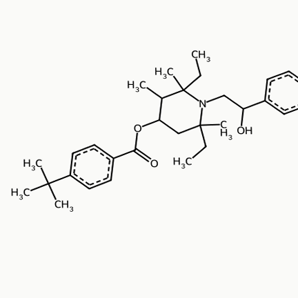 CCC1(C)CC(OC(=O)c2ccc(C(C)(C)C)cc2)C(C)C(C)(CC)N1CC(O)c1ccccc1